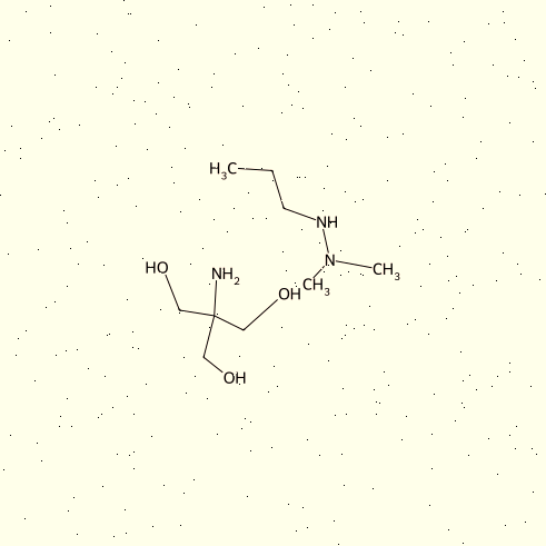 CCCNN(C)C.NC(CO)(CO)CO